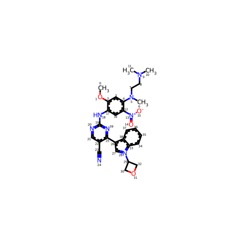 COc1cc(N(C)CCN(C)C)c([N+](=O)[O-])cc1Nc1ncc(C#N)c(-c2cn(C3COC3)c3ccccc23)n1